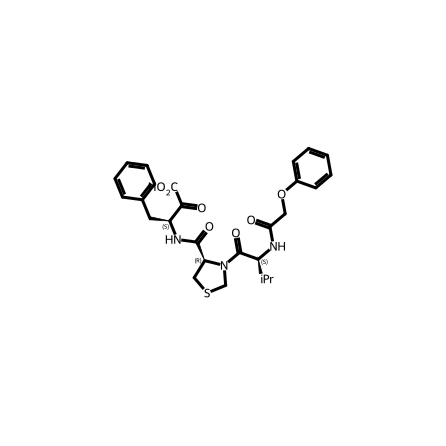 CC(C)[C@H](NC(=O)COc1ccccc1)C(=O)N1CSC[C@H]1C(=O)N[C@@H](Cc1ccccc1)C(=O)C(=O)O